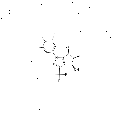 O[C@H]1c2c(C(F)(F)F)nn(-c3cc(F)c(F)c(F)c3)c2[C@@H](F)[C@H]1F